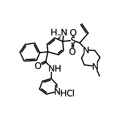 C=CC(N1CCN(C)CC1)S(=O)(=O)C1(N)C=CC(C(=O)Nc2cccnc2)(c2ccccc2)C=C1.Cl